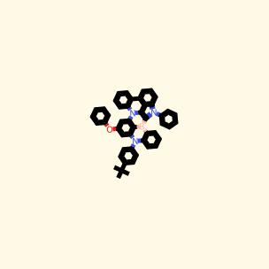 CC(C)(C)c1ccc(N2c3ccccc3B3c4c2cc(Oc2ccccc2)cc4N2c4ccccc4-c4cccc5c4c2c3n5-c2ccccc2)cc1